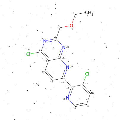 CCOCc1nc(Cl)c2ccc(-c3ncccc3Cl)nc2n1